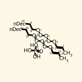 CC=COOOOOCCCCCCCCCCCC.CC=COOOOOCCCCCCCCCCCC.O=P(O)(O)O